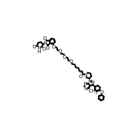 Cc1ncnc2c1c(C1=CC=C(Oc3ccccc3)CC1)nn2C1CCCN(C(=O)/C=C/CCCCOCCOCCOCCOc2cccc3c2C(=O)N(C2CCC(=O)NC2=O)C3=O)C1